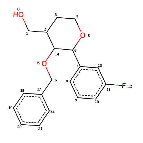 OCC1CCOC(c2cccc(F)c2)C1OCc1ccccc1